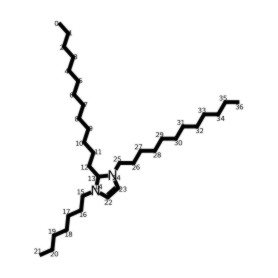 CCCCCCCCCCCCCC1N(CCCCCCC)C=CN1CCCCCCCCCCCC